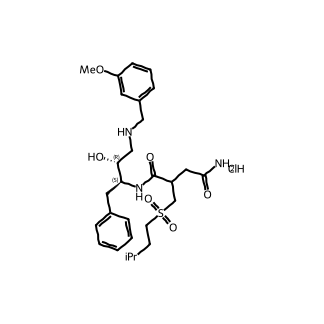 COc1cccc(CNC[C@@H](O)[C@H](Cc2ccccc2)NC(=O)C(CC(N)=O)CS(=O)(=O)CCC(C)C)c1.Cl